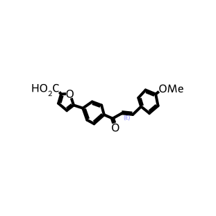 COc1ccc(/C=C/C(=O)c2ccc(-c3ccc(C(=O)O)o3)cc2)cc1